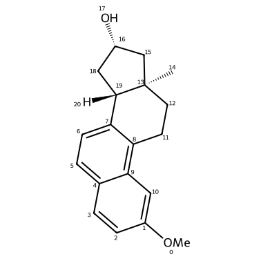 COc1ccc2ccc3c(c2c1)CC[C@]1(C)C[C@@H](O)C[C@@H]31